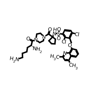 Cc1cc(C)c2cccc(OCc3c(Cl)ccc(S(=O)(=O)NC4(C(=O)N5CCN(C(=O)[C@H](N)CCCCN)CC5)CCCC4)c3Cl)c2n1